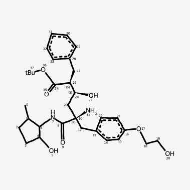 CC1CCC(O)C1NC(=O)[C@@](N)(Cc1ccc(OCCO)cc1)C[C@H](O)[C@H](Cc1ccccc1)C(=O)OC(C)(C)C